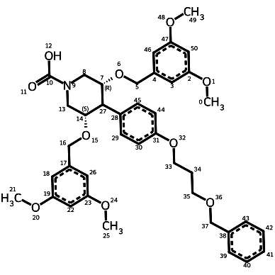 COc1cc(CO[C@H]2CN(C(=O)O)C[C@@H](OCc3cc(OC)cc(OC)c3)C2c2ccc(OCCCOCc3ccccc3)cc2)cc(OC)c1